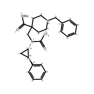 COC(=O)C1(CN(C(=O)C(F)(F)F)[C@H]2C[C@@H]2c2ccccc2)CCN(Cc2ccccc2)CC1